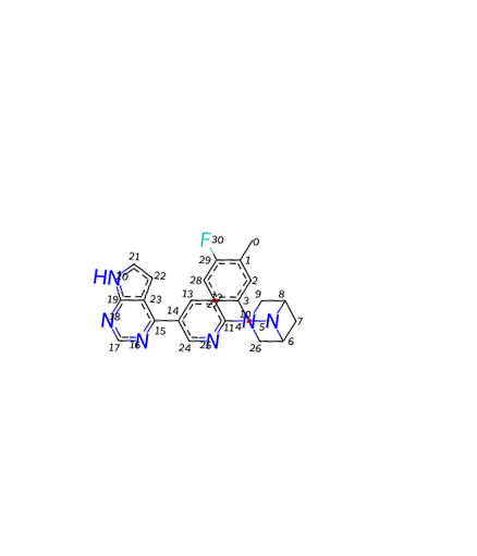 Cc1cc(CN2C3CC2CN(c2ccc(-c4ncnc5[nH]ccc45)cn2)C3)ccc1F